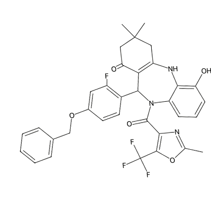 Cc1nc(C(=O)N2c3cccc(O)c3NC3=C(C(=O)CC(C)(C)C3)C2c2ccc(OCc3ccccc3)cc2F)c(C(F)(F)F)o1